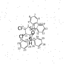 ClC1C[Si](c2ccccc2)(c2ccccc2)OC([SiH](c2ccccc2)c2ccccc2)C1Cl